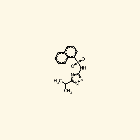 CC(C)c1nsc(NS(=O)(=O)c2cccc3ccccc23)n1